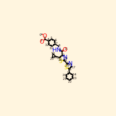 COC(=O)c1ccc(CNC(=O)c2nc(-c3ncc(-c4ccccc4)s3)sc2C2CC2)cc1